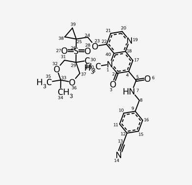 Cn1c(=O)c(C(=O)NCc2ccc(C#N)cc2)cc2nccc(OCC3(S(=O)(=O)C4(C)COC(C)(C)OC4)CC3)c21